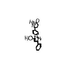 O=C1CCC(c2ccc(-n3nc(-c4ccccc4)cc3O)cc2)=NN1